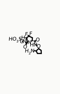 NC1CCCC1ONC(=O)[C@@H]1CC(F)(F)[C@@H]2CN1C(=O)N2OS(=O)(=O)O